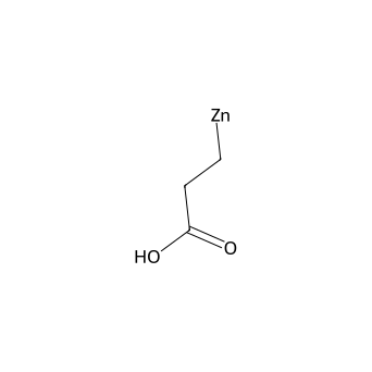 O=C(O)C[CH2][Zn]